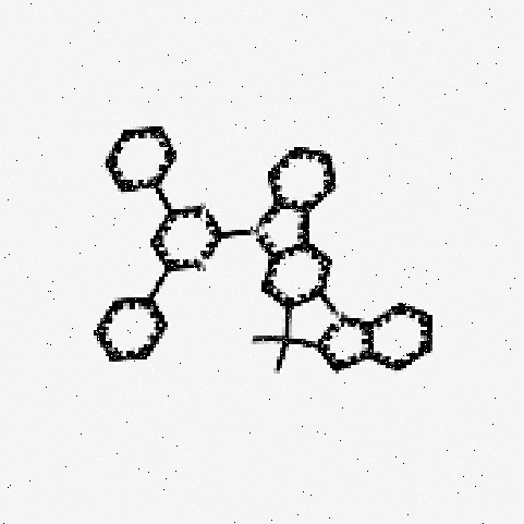 CC1(C)c2cc3c(cc2-n2c1cc1ccccc12)c1ccccc1n3-c1nc(-c2ccccc2)cc(-c2ccccc2)n1